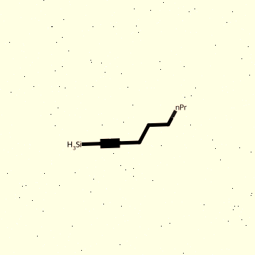 CCCCCCC#C[SiH3]